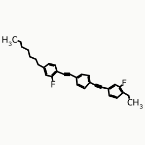 CCCCCCCc1ccc(C#Cc2ccc(C#Cc3ccc(CC)c(F)c3)cc2)c(F)c1